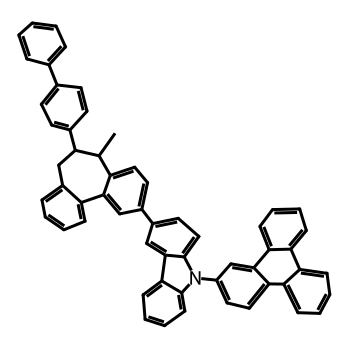 CC1c2ccc(-c3ccc4c(c3)c3ccccc3n4-c3ccc4c5ccccc5c5ccccc5c4c3)cc2-c2ccccc2CC1c1ccc(-c2ccccc2)cc1